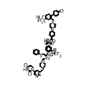 CC1(C)CCC(c2ccc(Cl)cc2)=C(CN2CCN(c3ccc(C(=O)NS(=O)(=O)c4ccc(N[C@H](CCN5CCN(Cc6cc(N7CCC(=O)NC7=O)cnn6)CC5)CSc5ccccc5)c(S(=O)(=O)C(F)(F)F)c4)cc3)CC2)C1